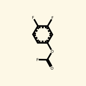 O=C(F)Oc1ccc(F)c(F)c1